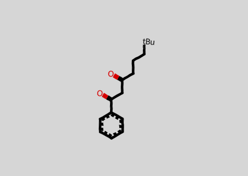 CC(C)(C)CCCC(=O)CC(=O)c1ccccc1